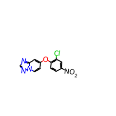 O=[N+]([O-])c1ccc(Oc2ccn3ncnc3c2)c(Cl)c1